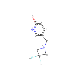 O=c1ccc(CN2CC(F)(F)C2)c[nH]1